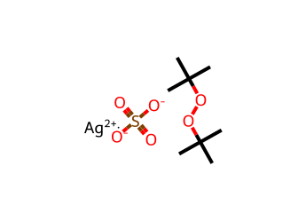 CC(C)(C)OOC(C)(C)C.O=S(=O)([O-])[O-].[Ag+2]